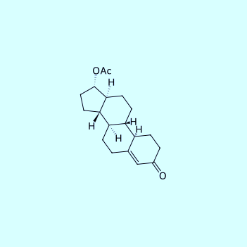 CC(=O)O[C@H]1CC[C@H]2[C@@H]3CCC4=CC(=O)CC[C@@H]4[C@H]3CC[C@@H]21